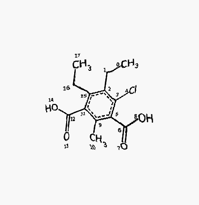 CCc1c(Cl)c(C(=O)O)c(C)c(C(=O)O)c1CC